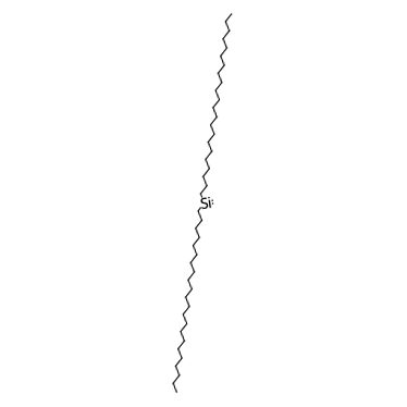 CCCCCCCCCCCCCCCCCCCCCC[Si]CCCCCCCCCCCCCCCCCCCCCC